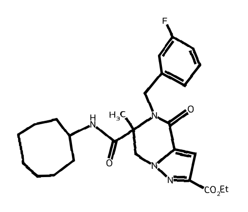 CCOC(=O)c1cc2n(n1)CC(C)(C(=O)NC1CCCCCCC1)N(Cc1cccc(F)c1)C2=O